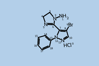 Cl.NN1CCN=C1c1c(Br)cnn1-c1ccccc1